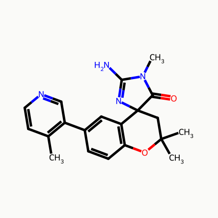 Cc1ccncc1-c1ccc2c(c1)C1(CC(C)(C)O2)N=C(N)N(C)C1=O